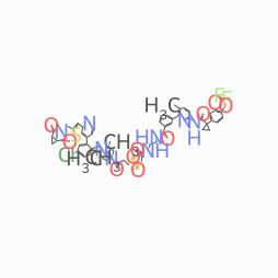 Cc1ccc(NC(=O)C2(c3ccc4c(c3)OC(F)(F)O4)CC2)nc1-c1cccc(C(=O)NCCNC(=O)CS(=O)(=O)CCC(=O)N2C[C@H](C)N(Cc3c(C)cc(Cl)cc3-c3ccnc4cc(CN5C(=O)C6CC6C5=O)sc34)[C@@H](C)C2)c1